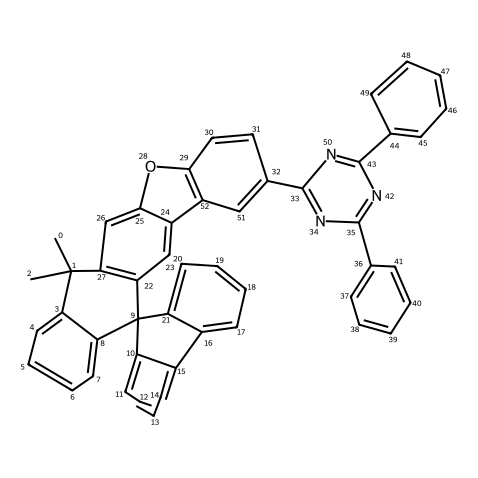 CC1(C)c2ccccc2C2(c3ccccc3-c3ccccc32)c2cc3c(cc21)oc1ccc(-c2nc(-c4ccccc4)nc(-c4ccccc4)n2)cc13